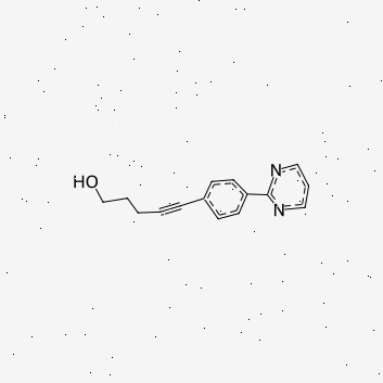 OCCCC#Cc1ccc(-c2ncccn2)cc1